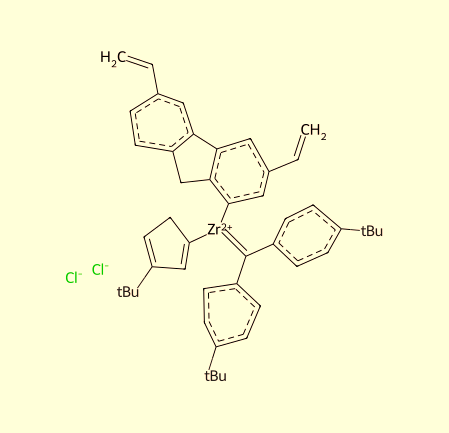 C=Cc1ccc2c(c1)-c1cc(C=C)c[c]([Zr+2]([C]3=CC(C(C)(C)C)=CC3)=[C](c3ccc(C(C)(C)C)cc3)c3ccc(C(C)(C)C)cc3)c1C2.[Cl-].[Cl-]